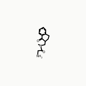 CN(CC1CCc2ccccc2C1=O)C(=O)CN